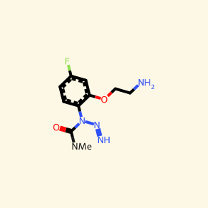 CNC(=O)N(N=N)c1ccc(F)cc1OCCN